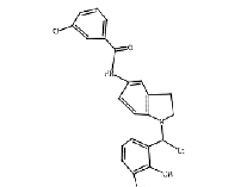 CCC(c1cccc(NC)c1O)N1CCc2cc(NC(=O)c3cccc(Cl)c3)ccc21